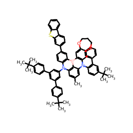 Cc1cc2c3c(c1)N(c1ccc(C(C)(C)C)cc1-c1ccccc1)c1cc4c(cc1B3c1cc(-c3ccc5c(c3)sc3ccccc35)ccc1N2c1cc(-c2ccc(C(C)(C)C)cc2)cc(-c2ccc(C(C)(C)C)cc2)c1)OCCCO4